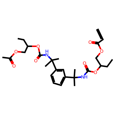 C=CC(=O)OCC(CC)OC(=O)NC(C)(C)c1cccc(C(C)(C)NC(=O)OC(CC)COC(C)=O)c1